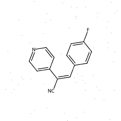 N#C/C(=C/c1ccc(F)cc1)c1ccncc1